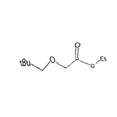 CCOC(=O)COCC(C)(C)C